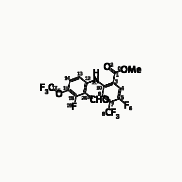 COC(=O)c1cc(F)c(C(F)(F)F)cc1Nc1ccc(OC(F)(F)F)c(F)c1C=O